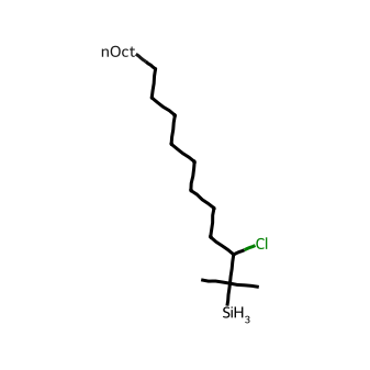 CCCCCCCCCCCCCCCCC(Cl)C(C)(C)[SiH3]